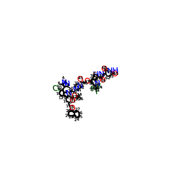 Cc1nn(C)c(C)c1-c1c(Cl)ccc2c(CCCOc3cccc4ccccc34)c(C(=O)OC(C)(C)C)n(CCN3CCN(C(=O)COc4cc(C(F)(F)F)nc5c(C(=O)NC6CCC(=O)NC6=O)scc45)CC3)c12